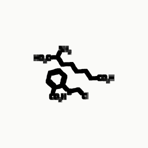 NC(CCCCCC(=O)O)C(=O)O.O=C(O)c1ccccc1SCCl